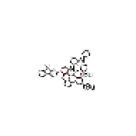 CC(C)(C)c1cc(-c2cccc3cccc(-c4ccccc4N(c4ccc(-c5ccc6c(c5)C(C)(C)c5ccccc5-6)cc4)c4cccc5c4c4ccccc4n5-c4ccccc4)c23)cc(C(C)(C)C)c1